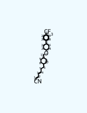 N#CC=CC=CCCC1CCC(COC2CCC(c3ccc(C(F)(F)F)cc3)CC2)CC1